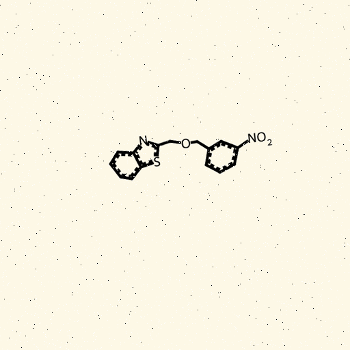 O=[N+]([O-])c1cccc(COCc2nc3ccccc3s2)c1